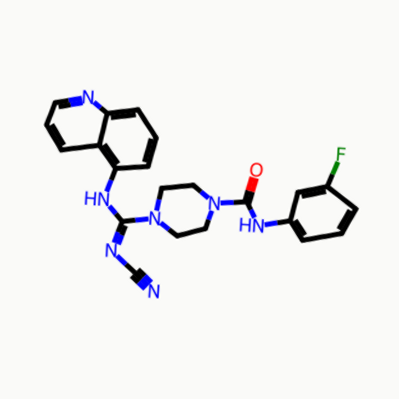 N#C/N=C(/Nc1cccc2ncccc12)N1CCN(C(=O)Nc2cccc(F)c2)CC1